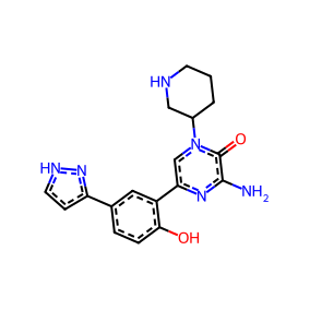 Nc1nc(-c2cc(-c3cc[nH]n3)ccc2O)cn(C2CCCNC2)c1=O